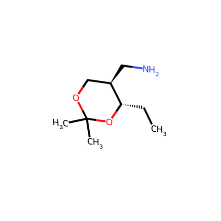 CC[C@@H]1OC(C)(C)OC[C@H]1CN